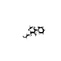 CCCOc1ncnc(N2CCCCC2)c1F